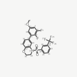 COc1cc(F)c(F)c(-c2ccc3c(c2)N(S(=O)(=O)c2cccc(C(F)(F)F)c2)CCO3)c1